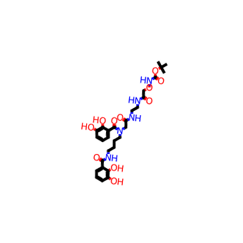 CC(C)(C)OC(=O)NOCC(=O)NCCNC(=O)CN(CCCCNC(=O)c1cccc(O)c1O)C(=O)c1cccc(O)c1O